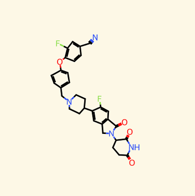 N#Cc1ccc(Oc2ccc(CN3CCC(c4cc5c(cc4F)C(=O)N(C4CCC(=O)NC4=O)C5)CC3)cc2)c(F)c1